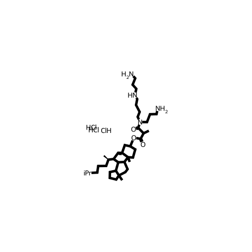 CC(C)CCC[C@@H](C)C1C=C2CC(OC(=O)C(C)C(=O)N(CCCN)CCCCNCCCN)CCC2(C)C2CCC3(C)CCCC3C12.Cl.Cl.Cl